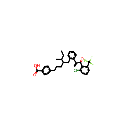 C=C(C(=O)c1c(Cl)cccc1C(F)(F)F)c1ccccc1CC(CCCc1ccc(C(=O)O)cc1)C(C)CC